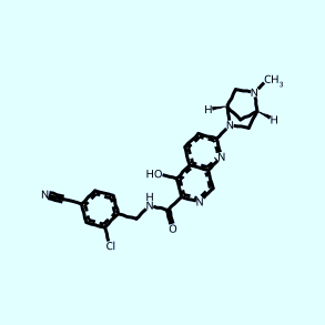 CN1C[C@@H]2C[C@H]1CN2c1ccc2c(O)c(C(=O)NCc3ccc(C#N)cc3Cl)ncc2n1